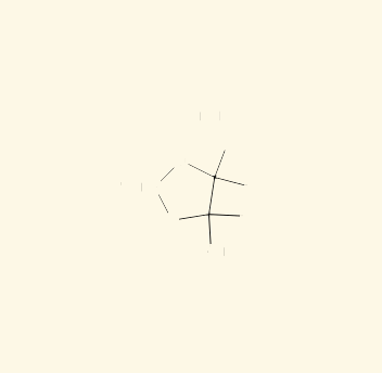 CC1(C)OBOC1(C)C.Cl.Cl